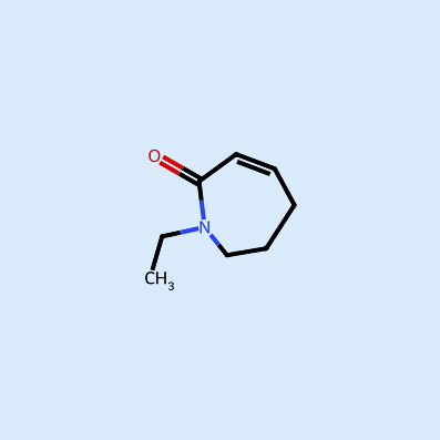 CCN1CCCC=CC1=O